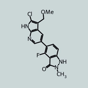 COCc1c(Cl)[nH]c2ncc(-c3ccc4[nH]n(C)c(=O)c4c3F)cc12